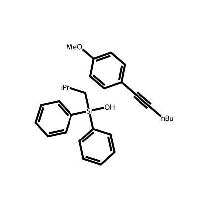 CC(C)C[Si](O)(c1ccccc1)c1ccccc1.CCCCC#Cc1ccc(OC)cc1